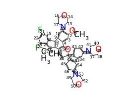 COc1cc2c3c(c4c(c2cc1N1CCOCC1)-c1cc(F)cc(F)c1C4(C)C)C=CC(c1ccc(N2CCOCC2)cc1)(c1ccc(N2CCOCC2)cc1)O3